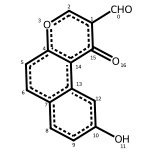 O=Cc1coc2ccc3ccc(O)cc3c2c1=O